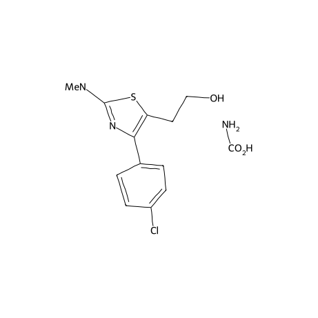 CNc1nc(-c2ccc(Cl)cc2)c(CCO)s1.NC(=O)O